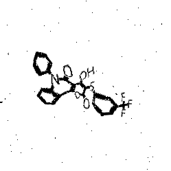 O=c1oc2c(c(O)c1Sc1cccc(C(F)(F)F)c1)c(=O)n(-c1ccccc1)c1ccccc21